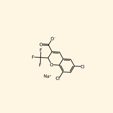 O=C([O-])C1=Cc2cc(Cl)cc(Cl)c2OC1C(F)(F)F.[Na+]